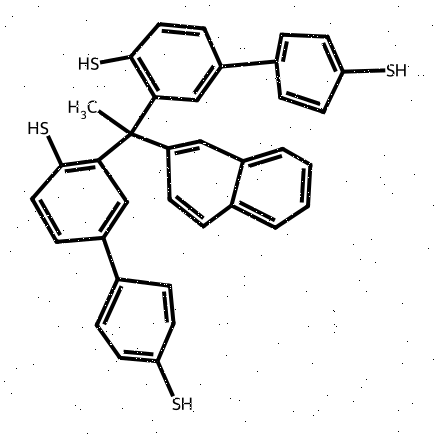 CC(c1ccc2ccccc2c1)(c1cc(-c2ccc(S)cc2)ccc1S)c1cc(-c2ccc(S)cc2)ccc1S